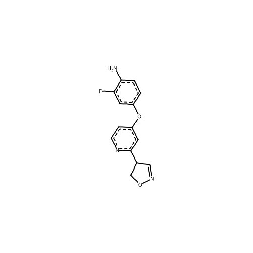 Nc1ccc(Oc2ccnc(C3C=NOC3)c2)cc1F